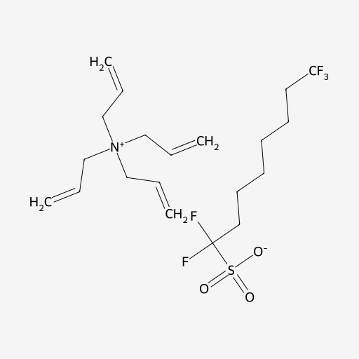 C=CC[N+](CC=C)(CC=C)CC=C.O=S(=O)([O-])C(F)(F)CCCCCCC(F)(F)F